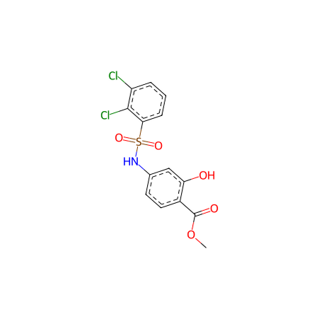 COC(=O)c1ccc(NS(=O)(=O)c2cccc(Cl)c2Cl)cc1O